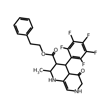 CC1NC2=CNCC(=O)C2C(c2c(F)c(F)c(F)c(F)c2F)C1C(=O)OCCc1ccccc1